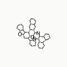 c1ccc2cc(-c3c4oc5ccccc5c4cc4oc5ccccc5c34)c(-c3cnc4c5ccccc5c5ccccc5c4n3)cc2c1